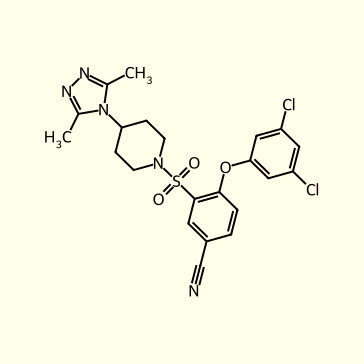 Cc1nnc(C)n1C1CCN(S(=O)(=O)c2cc(C#N)ccc2Oc2cc(Cl)cc(Cl)c2)CC1